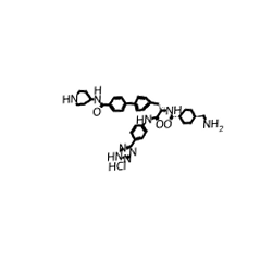 Cl.NC[C@H]1CC[C@H](C(=O)N[C@@H](Cc2ccc(-c3ccc(C(=O)NC4CCNCC4)cc3)cc2)C(=O)Nc2ccc(-c3nn[nH]n3)cc2)CC1